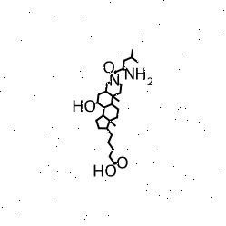 CC(C)CC(N)C(=O)N1CCC2(C)C(CC(O)C3C4CCC(CCCCC(=O)O)C4(C)CCC32)C1